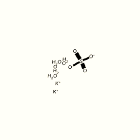 O.O.O.O.O=S(=O)([O-])[O-].[K+].[K+]